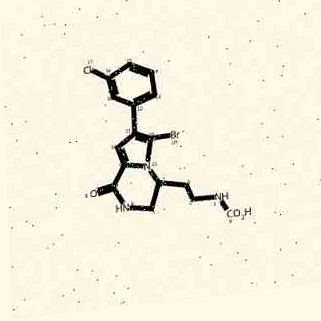 O=C(O)NCCC1CNC(=O)c2cc(-c3cccc(Cl)c3)c(Br)n21